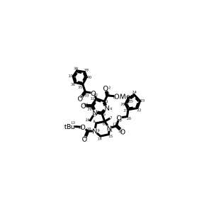 COC(=O)c1nc(C2(C)CN(C(=O)OC(C)(C)C)CCN2C(=O)OCc2ccccc2)n(C)c(=O)c1OC(=O)c1ccccc1